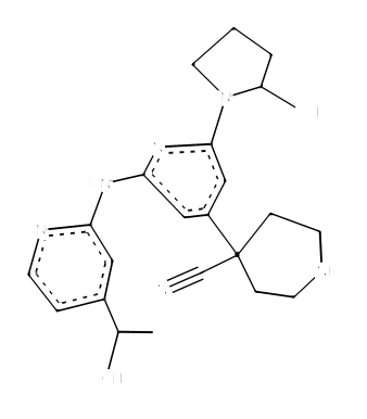 CC(C)c1ccnc(Nc2cc(C3(C#N)CCNCC3)cc(N3CCCC3C)n2)c1